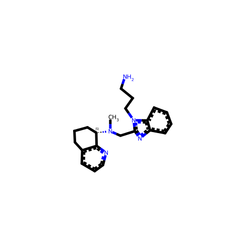 CN(Cc1nc2ccccc2n1CCCN)[C@H]1CCCc2cccnc21